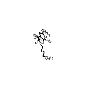 COCCOCCNC(=O)[C@@H](C(CC(N)=O)C(N)=O)C(C)(C)C